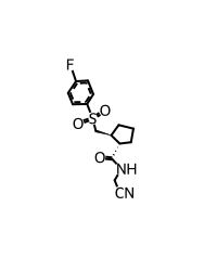 N#CCNC(=O)[C@H]1CCC[C@@H]1CS(=O)(=O)c1ccc(F)cc1